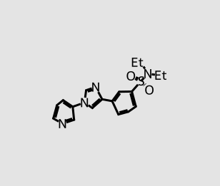 CCN(CC)S(=O)(=O)c1cccc(-c2cn(-c3cccnc3)cn2)c1